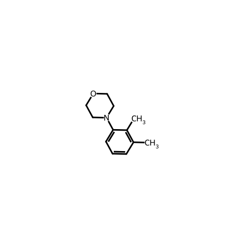 Cc1cccc(N2CCOCC2)c1C